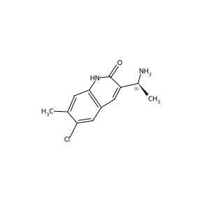 Cc1cc2[nH]c(=O)c([C@H](C)N)cc2cc1Cl